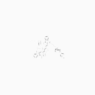 CC1(C)C(=CC=C2CCCC(C=CC3=[N+](CCCCCC(=O)NNCc4ccncc4)c4ccccc4C3(C)C)=C2Cl)N(CCCCCC(=O)O)c2ccccc21